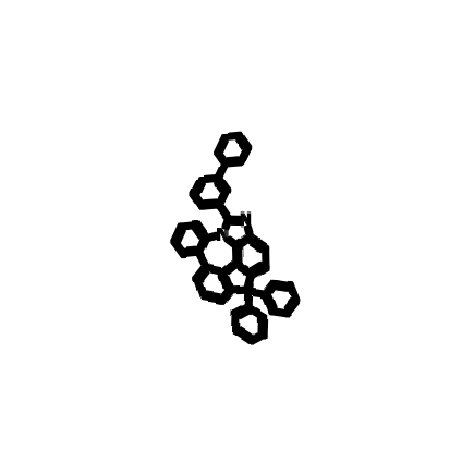 c1ccc(-c2cccc(-c3nc4ccc5c6c4n3-c3ccccc3-c3cccc(c3-6)C5(c3ccccc3)c3ccccc3)c2)cc1